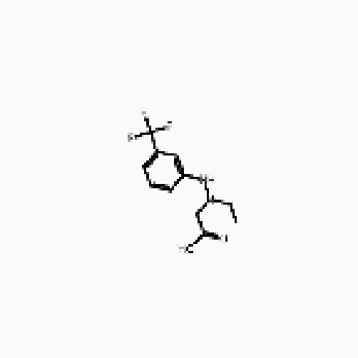 CCN(CC(=O)O)Nc1cccc(C(F)(F)F)c1